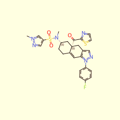 CN([C@H]1CCC2=Cc3c(cnn3-c3ccc(F)cc3)C[C@]2(C(=O)c2nccs2)C1)S(=O)(=O)c1cnn(C)c1